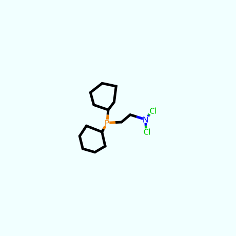 ClN(Cl)CCP(C1CCCCC1)C1CCCCC1